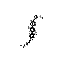 C=CCCCOc1ccc(-c2ccc(C3CCC(CCOC)CO3)c(F)c2)c(F)c1F